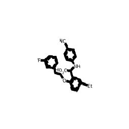 CCc1ccc(OCCc2cccc(F)c2)c(C(Nc2ccc(C#N)cc2)C(=O)O)c1